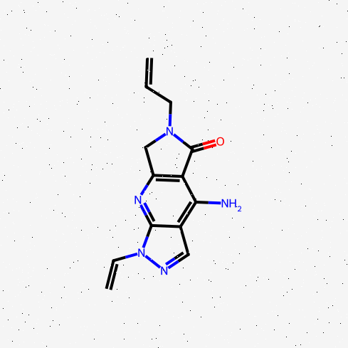 C=CCN1Cc2nc3c(cnn3C=C)c(N)c2C1=O